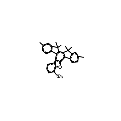 Cc1ccc2c(c1)C(C)(C)c1c3c(c4c(oc5c(C(C)(C)C)cccc54)c1-2)-c1ccc(C)cc1C3(C)C